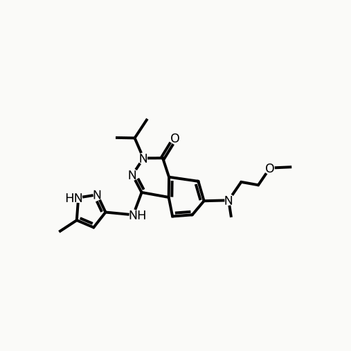 COCCN(C)c1ccc2c(Nc3cc(C)[nH]n3)nn(C(C)C)c(=O)c2c1